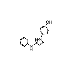 Oc1ccc(-n2ccc(Nc3ccccc3)n2)cc1